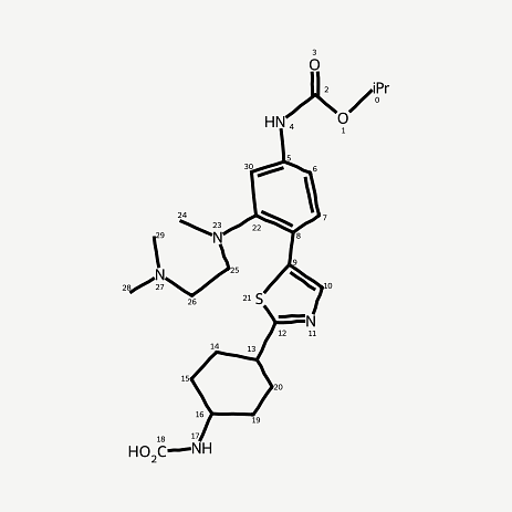 CC(C)OC(=O)Nc1ccc(-c2cnc(C3CCC(NC(=O)O)CC3)s2)c(N(C)CCN(C)C)c1